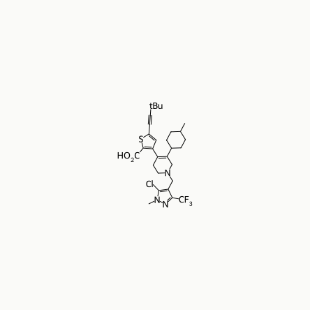 CC1CCC(C2=C(c3cc(C#CC(C)(C)C)sc3C(=O)O)CCN(Cc3c(C(F)(F)F)nn(C)c3Cl)C2)CC1